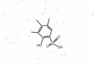 Cc1cc(S(=O)(=O)O)c(O)c(C)c1C